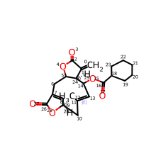 C=C1C(=O)OC2CC3=C[C@@H](C/C(C)=C/C(OC(=O)C4CCCCC4)[C@H]12)OC3=O